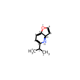 CC(C)c1ccc2occc2n1